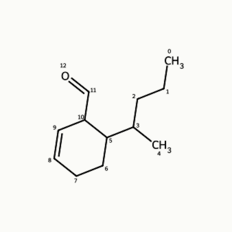 CCCC(C)C1CCC=CC1C=O